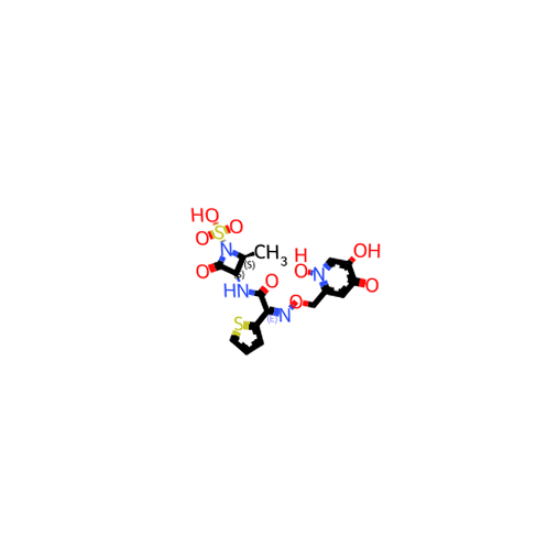 C[C@H]1[C@H](NC(=O)/C(=N\OCc2cc(=O)c(O)cn2O)c2cccs2)C(=O)N1S(=O)(=O)O